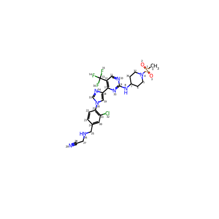 CS(=O)(=O)N1CCC(Nc2ncc(C(F)(F)F)c(-c3cn(-c4ccc(CNCC#N)cc4Cl)cn3)n2)CC1